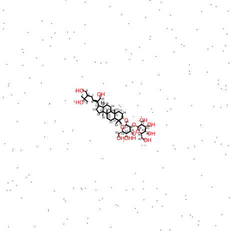 CC(C)(O)C(CO)C/C=C(\CO)C1CC[C@]2(C)[C@@H]1CCC1C3(C)CC[C@H](O[C@@H]4O[C@H](CO)[C@@H](O)[C@H](O)[C@H]4O[C@@H]4O[C@H](CO)[C@@H](O)[C@H](O)[C@H]4O)C(C)(C)C3CCC12C